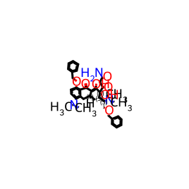 CN(C)c1ccc(OCc2ccccc2)c2c1C[C@H]1C[C@@H]([C@@H](COCc3ccccc3)N(C)C)[C@@](O)(C(=O)CC(N)=O)C(O)=C1C2=O